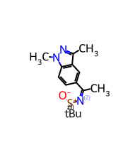 C/C(=N/[S@+]([O-])C(C)(C)C)c1ccc2c(c1)c(C)nn2C